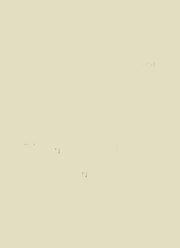 CCCCCCCCCC(=O)OC[N+]1(C)C=CN=C1.[Cl-]